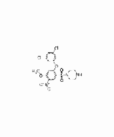 COc1cc(Oc2cc(Cl)cc(Cl)c2)c(S(=O)(=O)N2CCNCC2)cc1[N+](=O)[O-]